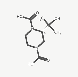 CC(C)(O)[C@@H]1CN(C(=O)O)CCN1C(=O)O